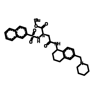 CC(C)(C)OC(=O)[C@@H](CC(=O)NC1CCCc2cc(CN3CCCCC3)ccc21)NS(=O)(=O)c1ccc2ccccc2c1